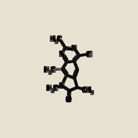 Cc1nc(Cl)c2cc3c(c(C)c2n1)N(C)C(=O)C3C